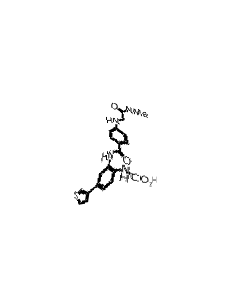 CNC(=O)CNc1ccc(C(=O)Nc2cc(-c3ccsc3)ccc2NC(=O)O)cc1